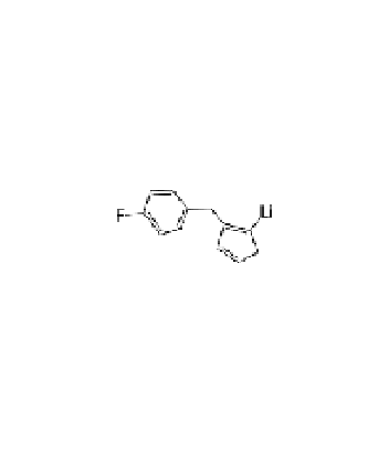 [Li][C]1=C(Cc2ccc(F)cc2)C=CC1